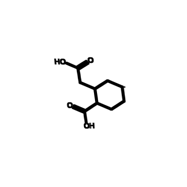 O=C(O)CC1C[CH]CCC1C(=O)O